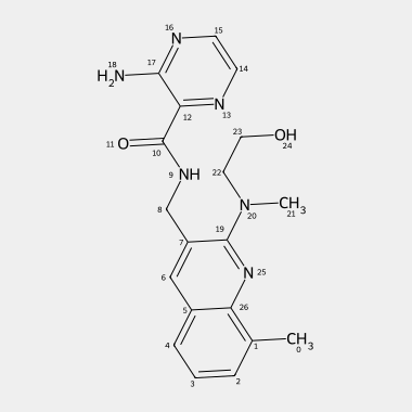 Cc1cccc2cc(CNC(=O)c3nccnc3N)c(N(C)CCO)nc12